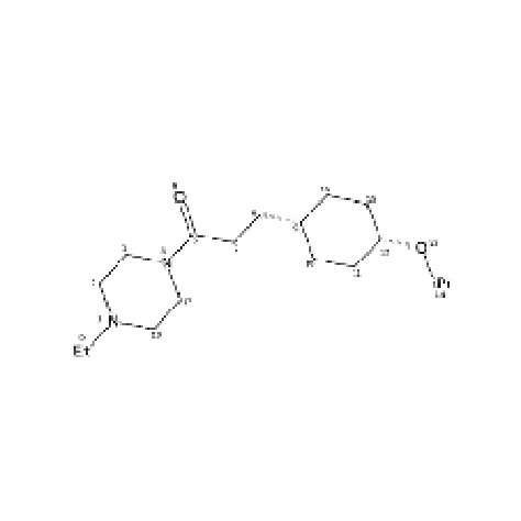 CCN1CCN(C(=O)CC[C@H]2CC[C@@H](OC(C)C)CC2)CC1